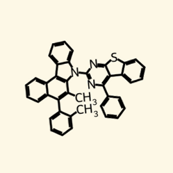 Cc1ccccc1-c1c(C)c2c(c3ccccc13)c1ccccc1n2-c1nc(-c2ccccc2)c2c(n1)sc1ccccc12